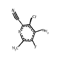 Cc1nc(C#N)c(Cl)c(N)c1F